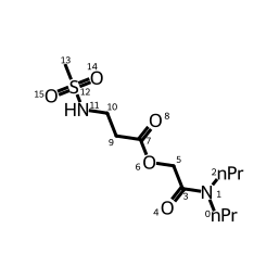 CCCN(CCC)C(=O)COC(=O)CCNS(C)(=O)=O